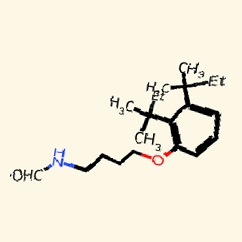 CCC(C)(C)c1cccc(OCCCCN[C]=O)c1C(C)(C)CC